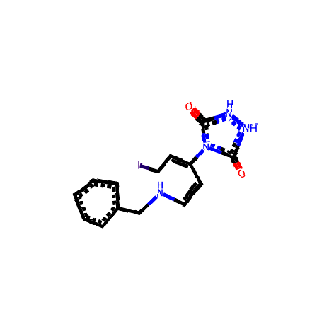 O=c1[nH][nH]c(=O)n1C(/C=C\NCc1ccccc1)=C/CI